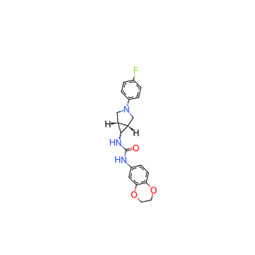 O=C(Nc1ccc2c(c1)OCCO2)N[C@H]1[C@@H]2CN(c3ccc(F)cc3)C[C@@H]21